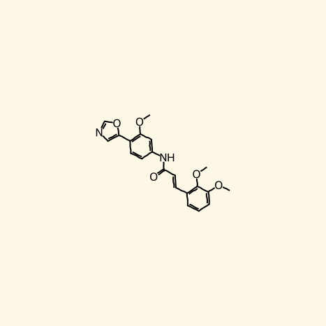 COc1cc(NC(=O)C=Cc2cccc(OC)c2OC)ccc1-c1cnco1